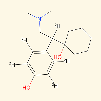 [2H]c1c([2H])c(C([2H])(CN(C)C)C2(O)CCCCC2)c([2H])c([2H])c1O